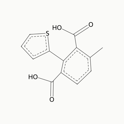 Cc1ccc(C(=O)O)c(-c2cccs2)c1C(=O)O